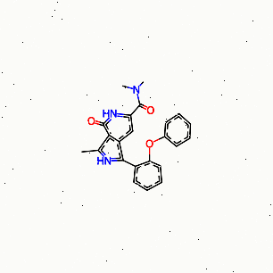 Cc1[nH]c(-c2ccccc2Oc2ccccc2)c2cc(C(=O)N(C)C)[nH]c(=O)c12